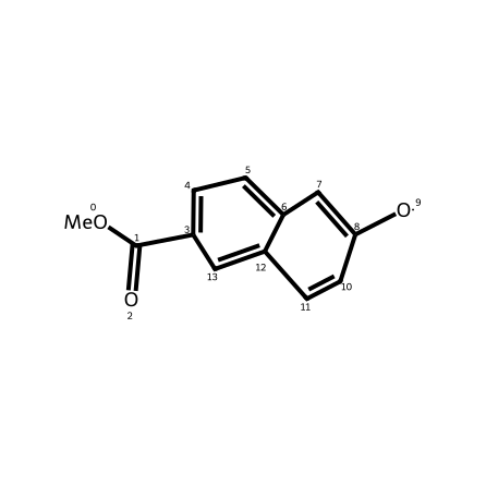 COC(=O)c1ccc2cc([O])ccc2c1